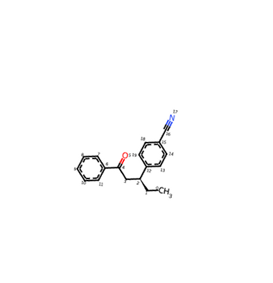 CC[C@@H](CC(=O)c1ccccc1)c1ccc(C#N)cc1